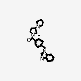 O=C(c1ccc(Cn2cnc3ccccc32)cc1F)N1CCC(N2CCCC2)C1